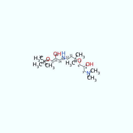 CN(C)CC(O)COC(C)(C)CCNC[C@H](O)COC(C)(C)C